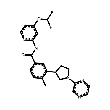 Cc1ccc(C(=O)Nc2cc(OC(F)F)ccn2)cc1C1CCN(c2cnccn2)C1